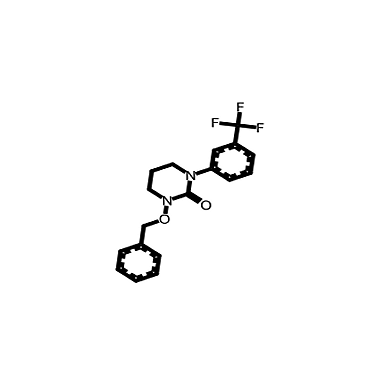 O=C1N(OCc2ccccc2)CCCN1c1cccc(C(F)(F)F)c1